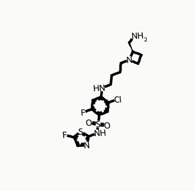 NC[C@H]1CCN1CCCCNc1cc(F)c(S(=O)(=O)Nc2ncc(F)s2)cc1Cl